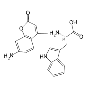 Cc1cc(=O)oc2cc(N)ccc12.N[C@@H](Cc1c[nH]c2ccccc12)C(=O)O